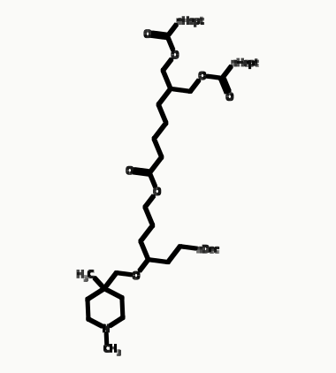 CCCCCCCCCCCCC(CCCOC(=O)CCCCC(COC(=O)CCCCCCC)COC(=O)CCCCCCC)OCC1(C)CCN(C)CC1